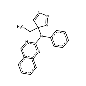 CCC1(N(c2ccccc2)c2ncc3ccccc3n2)C=NN=N1